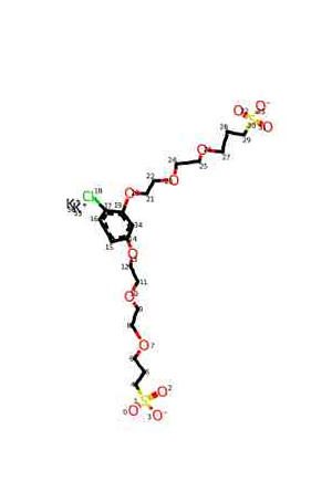 O=S(=O)([O-])CCCOCCOCCOc1ccc(Cl)c(OCCOCCOCCCS(=O)(=O)[O-])c1.[K+].[K+]